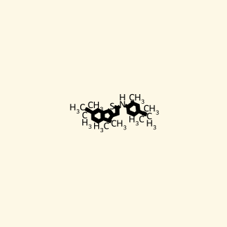 Cc1cc(C(C)(C)C)ccc1Nc1cc2c(s1)-c1cc(C(C)(C)C)ccc1C2(C)C